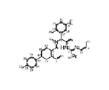 C=CC1=C(CN(C)C(C(=C)N/C(=N/C=C\C)C(C)C)c2cc(F)ccc2C)C=CC(c2ccc(C)cc2)C1